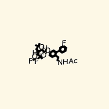 CC(=O)NCCc1ccc(O[C@@H]2OC(C)(C)[C@H](OC(F)F)[C@H]3CC(C)(C)O[C@@H]23)cc1-c1cccc(F)c1